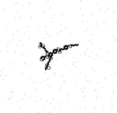 C=CC(=O)OCCCCOc1cc(-c2ccc(OC(=O)CCc3ccc(COCCCCC)cc3)cc2)cc(OCCCCOC(=O)C=C)c1OCC1CCOCC1